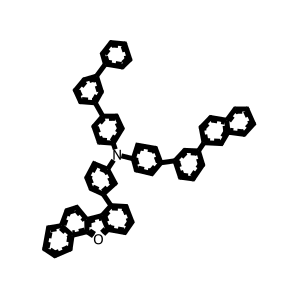 c1ccc(-c2cccc(-c3ccc(N(c4ccc(-c5cccc(-c6ccc7ccccc7c6)c5)cc4)c4cccc(-c5cccc6oc7c8ccccc8ccc7c56)c4)cc3)c2)cc1